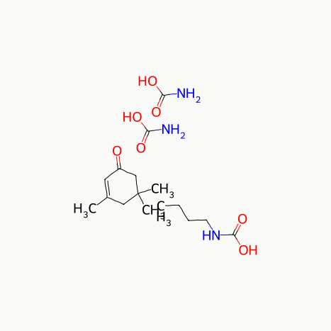 CC1=CC(=O)CC(C)(C)C1.CCCCNC(=O)O.NC(=O)O.NC(=O)O